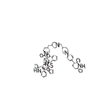 O=C1CCC(c2ccc(N3CCC(CN4CCC(CC5CCN(C(=O)C6(Oc7ccccc7-c7nc8cccc(Cl)c8s7)CCN(C(=O)[C@H]7CC(=O)Nc8ccccc87)CC6)CC5)CC4)CC3)cc2)C(=O)N1